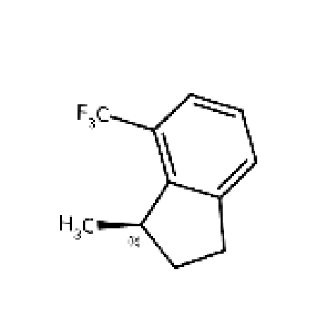 C[C@@H]1CCc2cccc(C(F)(F)F)c21